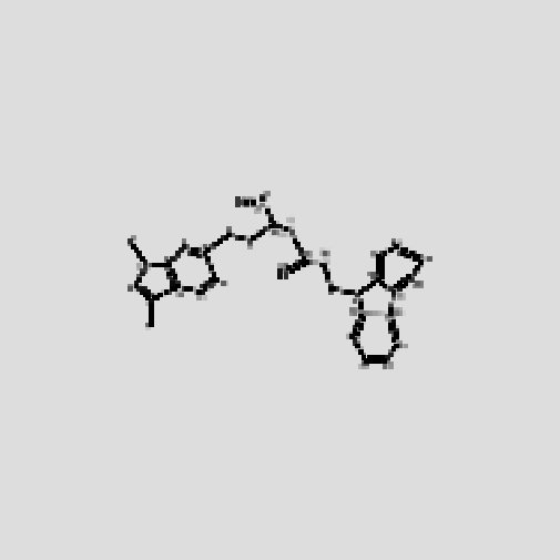 Cc1cn(C)c2cc(CCC(NC(=O)OCC3c4ccccc4-c4ccccc43)C(=O)O)ccc12